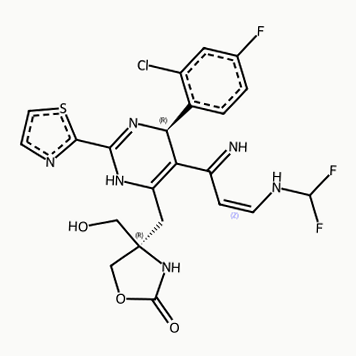 N=C(/C=C\NC(F)F)C1=C(C[C@@]2(CO)COC(=O)N2)NC(c2nccs2)=N[C@H]1c1ccc(F)cc1Cl